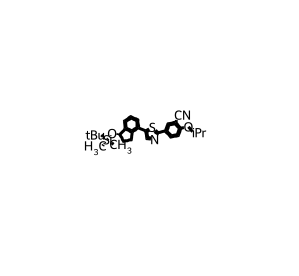 CC(C)Oc1ccc(-c2ncc(-c3cccc4c3CC[C@H]4O[Si](C)(C)C(C)(C)C)s2)cc1C#N